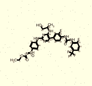 CCOC(=O)N=[SH](=O)c1ccc(Nc2ncc(-c3ccc(NC(=O)Nc4cc(C(F)(F)F)ccc4F)c(F)c3)c(NC(C)CO)n2)cc1